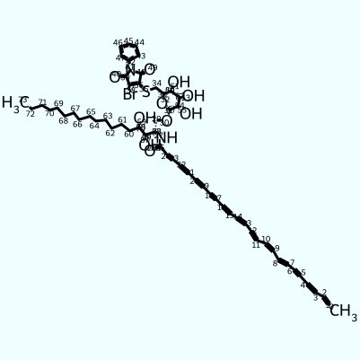 CC#CC#CC#CC#CC#CC#CC#CC#CC#CC#CC#CC#CC(=O)N[C@@H](CO[C@H]1OC(CSC2=C(Br)C(=O)N(c3ccccc3)C2=O)[C@H](O)[C@H](O)C1O)[C@H](O)[C@H](O)CCCCCCCCCCCCCC